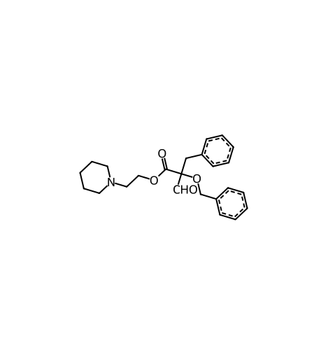 O=CC(Cc1ccccc1)(OCc1ccccc1)C(=O)OCCN1CCCCC1